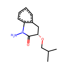 CC(C)CO[C@H]1Cc2ccccc2N(N)C1=O